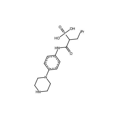 CC(C)CC(C(=O)Nc1ccc(N2CCNCC2)cc1)P(=O)(O)O